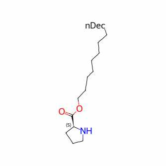 CCCCCCCCCCCCCCCCCCOC(=O)[C@@H]1CCCN1